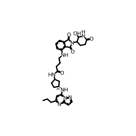 CCCc1cc(N[C@@H]2CCC(NC(=O)CCCNc3cccc4c3C(=O)N(C3CCC(=O)NC3O)C4=O)C2)n2nccc2n1